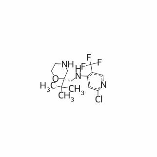 CC(C)(C)[C@]1(CNc2cc(Cl)ncc2C(F)(F)F)CNCCO1